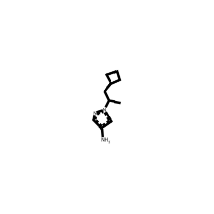 CC(CC1CCC1)n1cc(N)cn1